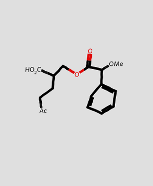 COC(C(=O)OCC(CCC(C)=O)C(=O)O)c1ccccc1